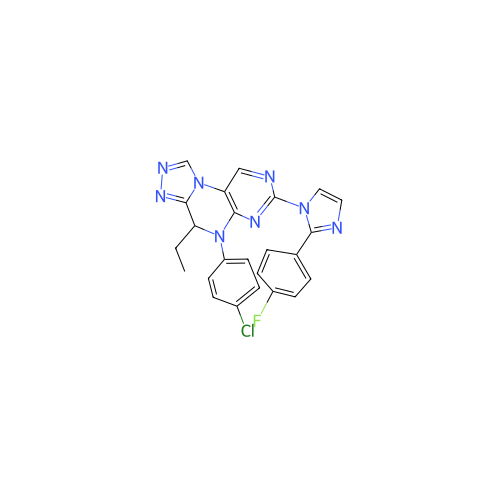 CCC1c2nncn2-c2cnc(-n3ccnc3-c3ccc(F)cc3)nc2N1c1ccc(Cl)cc1